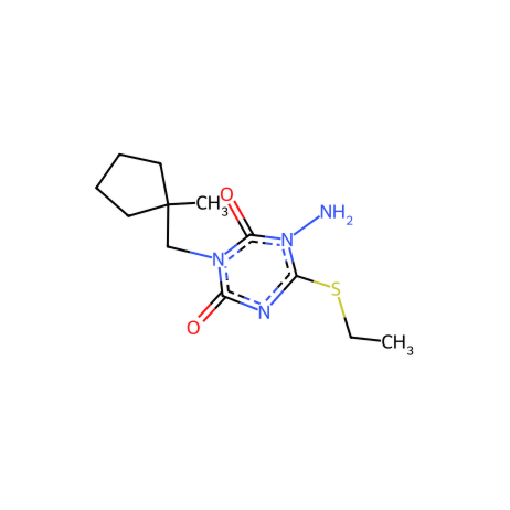 CCSc1nc(=O)n(CC2(C)CCCC2)c(=O)n1N